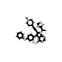 CC(c1ncon1)n1c(C#CC2CCN(C)CC2)c(-c2ccc(Oc3ccccc3)cc2)c2c(N)ncnc21